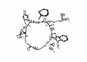 CC(=O)N[C@H]1CCC(=O)NCCC[C@@H](C(N)=O)NC(=O)[C@H](Cc2c[nH]c3ccccc23)NC(=O)[C@H](CCCNC(=N)N)NC(=O)[C@@H](Cc2ccccc2)NC(O)[C@H](Cc2c[nH]cn2)NC1=O